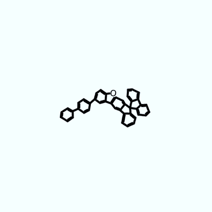 c1ccc(-c2ccc(-c3ccc4oc5cc6c(cc5c4c3)-c3ccccc3C63c4ccccc4-c4ccccc43)cc2)cc1